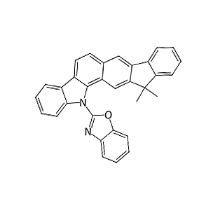 CC1(C)c2ccccc2-c2cc3ccc4c5ccccc5n(-c5nc6ccccc6o5)c4c3cc21